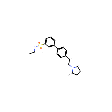 CCNS(=O)(=O)c1cccc(-c2ccc(CCN3CCC[C@H]3C)cc2)c1